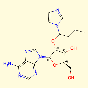 CCCC(O[C@@H]1[C@H](O)[C@@H](CO)O[C@H]1n1cnc2c(N)ncnc21)n1ccnc1